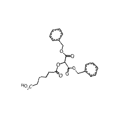 O=C(O)CCCCC(=O)OC(C(=O)OCc1ccccc1)C(=O)OCc1ccccc1